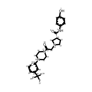 O=C(Nc1ccc(O)cc1)[C@@H]1CCN(CC(=O)N2CCN(c3cccc(C(F)(F)F)c3)CC2)C1